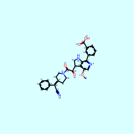 COc1cnc(-c2cccc(C(=O)O)c2)c2c1C(C(=O)C(=O)N1CCC(=C(C#N)c3ccccc3)CC1)CN2